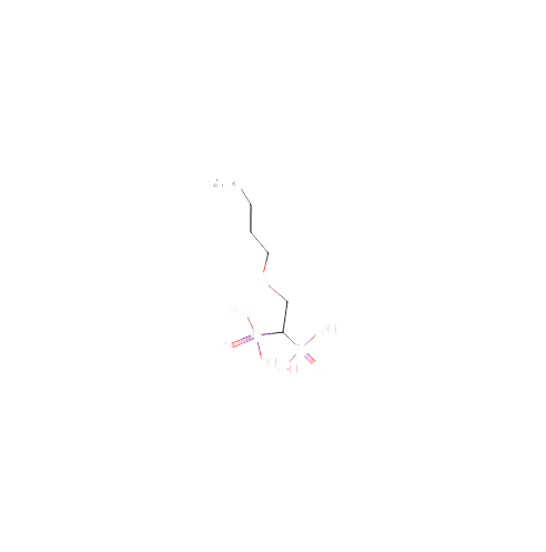 CCCCCCCCCCCCOCC(P(=O)(O)O)P(=O)(O)O